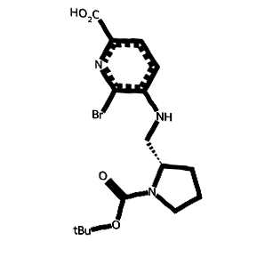 CC(C)(C)OC(=O)N1CCC[C@H]1CNc1ccc(C(=O)O)nc1Br